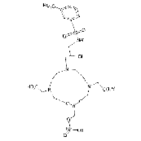 O=C(O)CN1CCN(CO[PH](=O)O)CCN(CC(=O)O)CCN(CC(O)CNS(=O)(=O)c2cccc(C(=O)O)c2)CC1